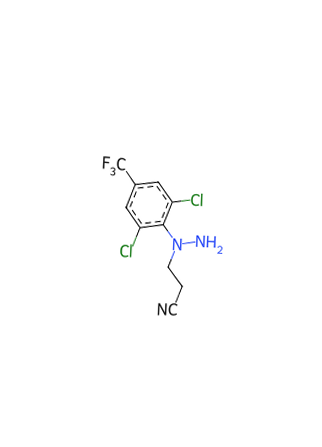 N#CCCN(N)c1c(Cl)cc(C(F)(F)F)cc1Cl